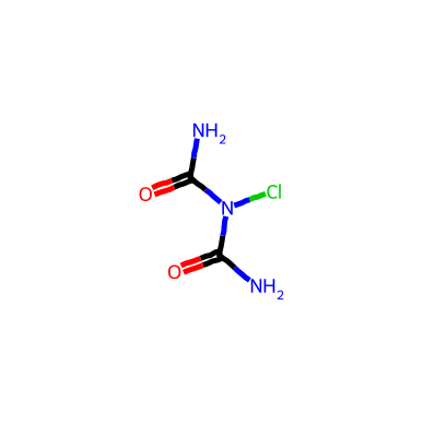 NC(=O)N(Cl)C(N)=O